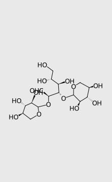 O=C[C@H](OC1OC[C@@H](O)[C@H](O)[C@H]1O)[C@@H](OC1OC[C@@H](O)[C@H](O)[C@H]1O)[C@H](O)[C@H](O)CO